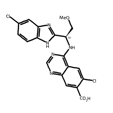 COC[C@@H](Nc1ncnc2cc(C(=O)O)c(Cl)cc12)c1nc2cc(Cl)ccc2[nH]1